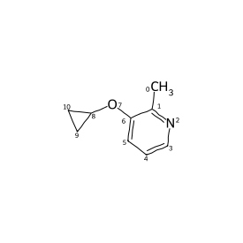 Cc1ncccc1OC1CC1